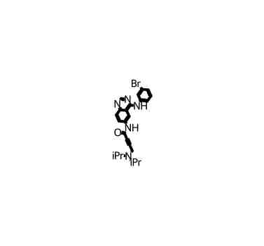 CC(C)N(CC#CC(=O)Nc1ccc2ncnc(Nc3cccc(Br)c3)c2c1)C(C)C